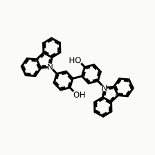 Oc1ccc(-n2c3ccccc3c3ccccc32)cc1-c1cc(-n2c3ccccc3c3ccccc32)ccc1O